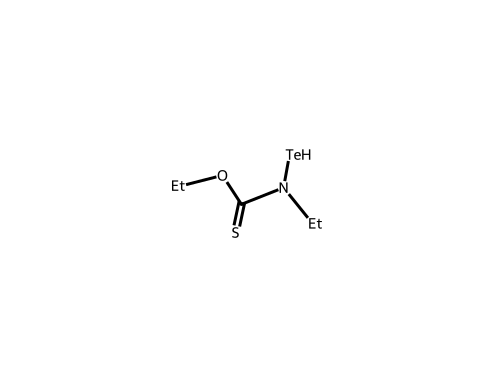 CCOC(=S)N([TeH])CC